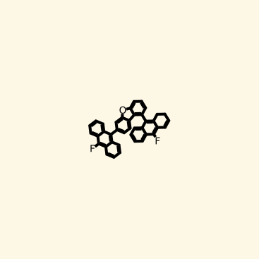 Fc1c2c(c(-c3cccc4oc5cc(-c6c7ccccc7c(F)c7ccccc67)ccc5c34)c3ccccc13)CCC=C2